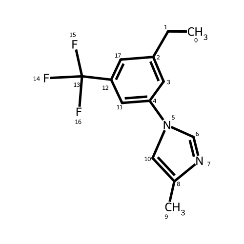 CCc1cc(-n2cnc(C)c2)cc(C(F)(F)F)c1